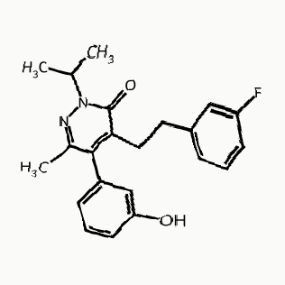 Cc1nn(C(C)C)c(=O)c(CCc2cccc(F)c2)c1-c1cccc(O)c1